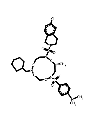 C[C@H]1CN(S(=O)(=O)c2ccc(N(C)C)cc2)CCCN(CC2CCCCC2)CCCN(S(=O)(=O)N2CCc3cc(Cl)ccc3C2)C1